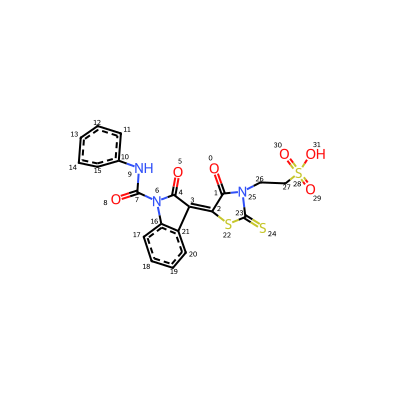 O=C1C(=C2C(=O)N(C(=O)Nc3ccccc3)c3ccccc32)SC(=S)N1CCS(=O)(=O)O